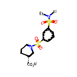 CCN(CC)S(=O)(=O)c1cccc(S(=O)(=O)N2CCC[C@@H](C(=O)O)C2)c1